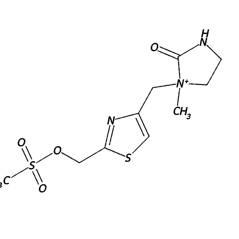 C[N+]1(Cc2csc(COS(C)(=O)=O)n2)CCNC1=O